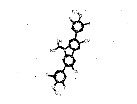 N#CC(C#N)=C1c2cc(-c3cc(F)c(OC(F)(F)F)c(F)c3)c(C#N)cc2-c2cc(C#N)c(-c3cc(F)c(OC(F)(F)F)c(F)c3)cc21